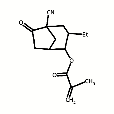 C=C(C)C(=O)OC1C(CC)CC2(C#N)CC1CC2=O